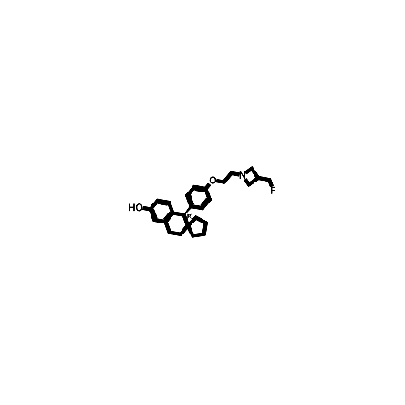 Oc1ccc2c(c1)CCC1(CCCC1)[C@@H]2c1ccc(OCCN2CC(CF)C2)cc1